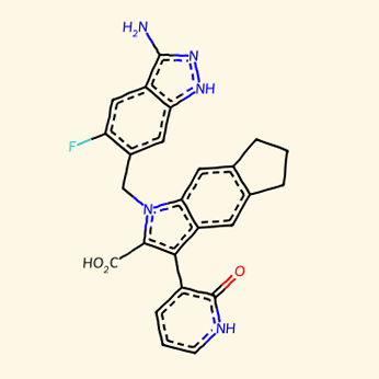 Nc1n[nH]c2cc(Cn3c(C(=O)O)c(-c4ccc[nH]c4=O)c4cc5c(cc43)CCC5)c(F)cc12